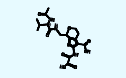 CC(=O)N[C@@H](C(=O)NCC1OCCc2c1sc(NC(=O)C(=O)O)c2C(=O)O)C(C)C